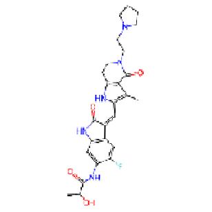 Cc1c(C=C2C(=O)Nc3cc(NC(=O)[C@H](C)O)c(F)cc32)[nH]c2c1C(=O)N(CCN1CCCC1)CC2